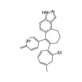 C=C(/C=C\C(=C/C)C1=C(C2=C(CC)CC(C)=CC=C2)CCCc2c1ccc1[nH]ncc21)C(C)C